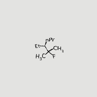 CCC[C@H](CC)C(C)(C)F